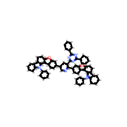 c1ccc(-c2nc(-c3ccccc3)nc(-c3cc(-c4ccc5c(c4)oc4ccc6c7ccccc7n(-c7ccccc7)c6c45)cnc3-c3ccc4c(c3)oc3ccc5c6ccccc6n(-c6ccccc6)c5c34)n2)cc1